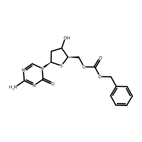 Nc1ncn([C@H]2CC(O)[C@@H](COC(=O)OCc3ccccc3)S2)c(=O)n1